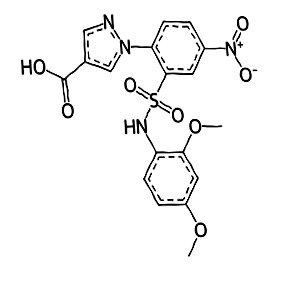 COc1ccc(NS(=O)(=O)c2cc([N+](=O)[O-])ccc2-n2cc(C(=O)O)cn2)c(OC)c1